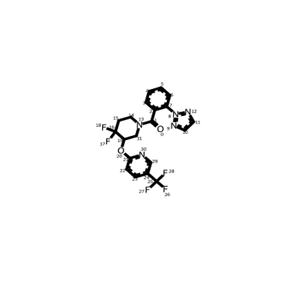 O=C(c1ccccc1-n1nccn1)N1CCC(F)(F)C(Oc2ccc(C(F)(F)F)cn2)C1